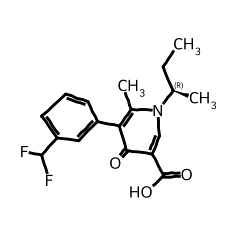 CC[C@@H](C)n1cc(C(=O)O)c(=O)c(-c2cccc(C(F)F)c2)c1C